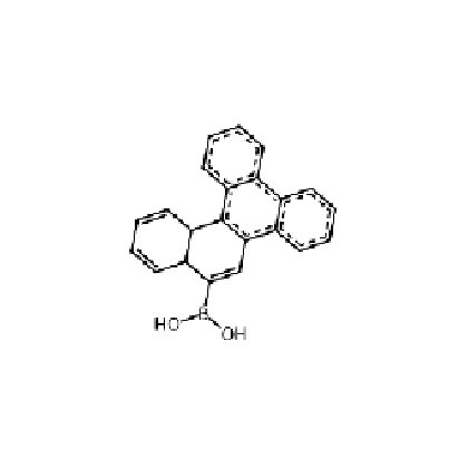 OB(O)C1=Cc2c(c3ccccc3c3ccccc23)C2C=CC=CC12